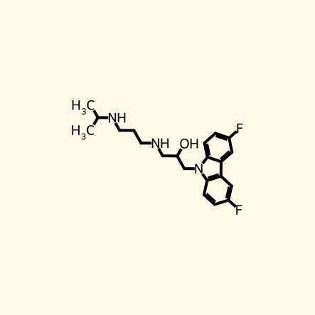 CC(C)NCCCNCC(O)Cn1c2ccc(F)cc2c2cc(F)ccc21